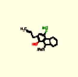 CC=CCc1cc(F)c2c(c1O)C(NC)C1CCCCC21.Cl